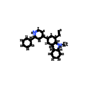 C=Cc1cc(-c2ccnc(-c3ccccc3)c2)cc2c3ccccc3n(CC)c12